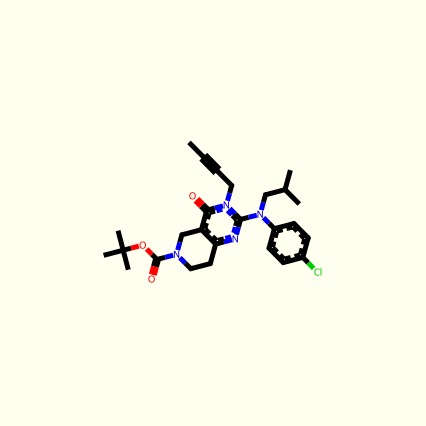 CC#CCn1c(N(CC(C)C)c2ccc(Cl)cc2)nc2c(c1=O)CN(C(=O)OC(C)(C)C)CC2